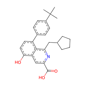 CC(C)(C)c1ccc(-c2ccc(O)c3cc(C(=O)O)nc(CC4CCCC4)c23)cc1